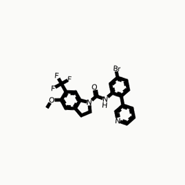 COc1cc2c(cc1C(F)(F)F)N(C(=O)Nc1cc(Br)ccc1-c1cccnc1)CC2